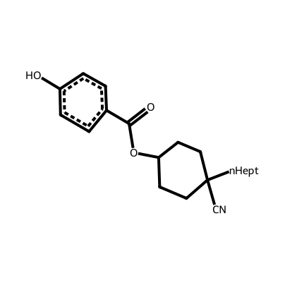 CCCCCCCC1(C#N)CCC(OC(=O)c2ccc(O)cc2)CC1